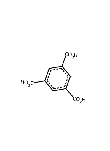 O=C(O)c1[c]c(C(=O)O)cc(C(=O)O)c1